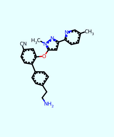 Cc1ccc(-c2cc(Oc3cc(C#N)ccc3-c3ccc(CCN)cc3)n(C)n2)nc1